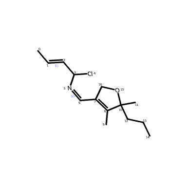 C/C=C/C(Cl)/N=C\C1=C(C)C(C)(CCC)OC1